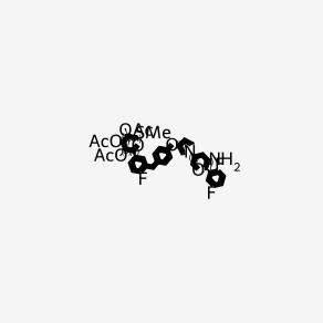 CS[C@H]1O[C@@H](c2ccc(F)c(Cc3ccc(O[C@@H]4CCN([C@H]5CO[C@H](c6cc(F)ccc6F)[C@@H](N)C5)C4)cc3)c2)[C@H](OC(C)=O)[C@@H](OC(C)=O)[C@@H]1OC(C)=O